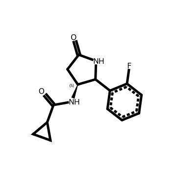 O=C1C[C@H](NC(=O)C2CC2)C(c2ccccc2F)N1